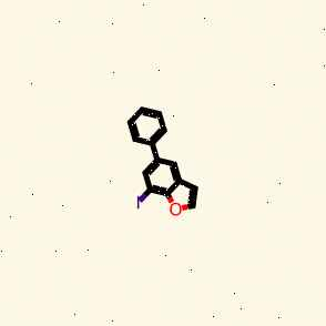 Ic1cc(-c2ccccc2)cc2ccoc12